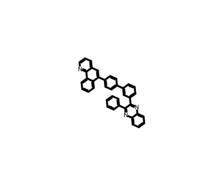 c1ccc(-c2nc3ccccc3nc2-c2cccc(-c3ccc(-c4cc5cccnc5c5ccccc45)cc3)c2)cc1